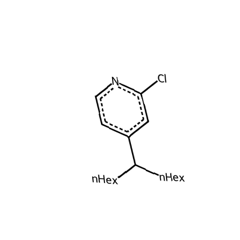 CCCCCCC(CCCCCC)c1ccnc(Cl)c1